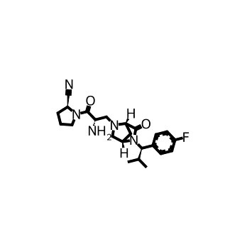 CC(C)[C@H](c1ccc(F)cc1)N1C(=O)[C@@H]2C[C@H]1CN2C[C@H](N)C(=O)N1CCC[C@H]1C#N